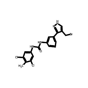 Cc1c(Cl)cc(NC(=O)Nc2cccc(-c3n[nH]cc3CBr)c2)cc1Cl